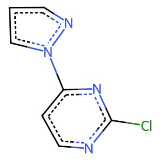 Clc1nccc(-n2cccn2)n1